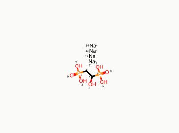 O=P(O)(O)CC(O)P(=O)(O)O.[Na].[Na].[Na].[Na]